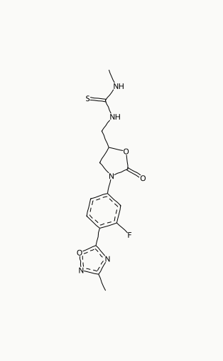 CNC(=S)NCC1CN(c2ccc(-c3nc(C)no3)c(F)c2)C(=O)O1